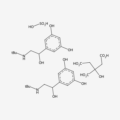 CC(C)(C)NCC(O)c1cc(O)cc(O)c1.CC(C)(C)NCC(O)c1cc(O)cc(O)c1.O=C(O)CC(O)(CC(=O)O)C(=O)O.O=S(=O)(O)O